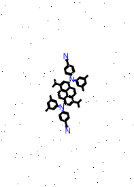 Cc1cc(C)cc(N(c2ccc(C#N)cc2)c2cc(C(C)C)c3c4c5c(ccc24)C(C(C)C)=CC(N(c2ccc(C#N)cc2)c2cc(C)cc(C)c2)C5C=C3)c1